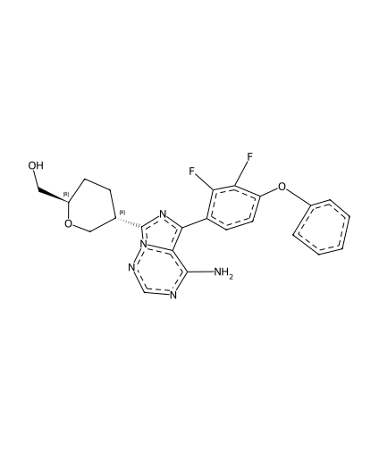 Nc1ncnn2c([C@H]3CC[C@H](CO)OC3)nc(-c3ccc(Oc4ccccc4)c(F)c3F)c12